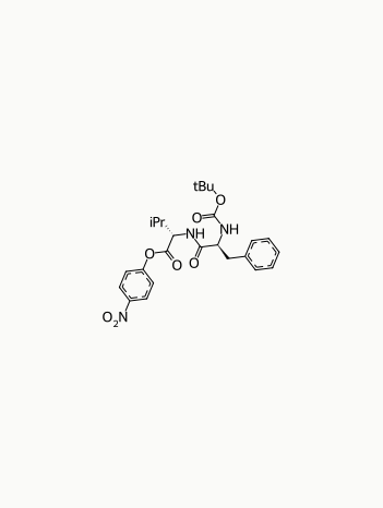 CC(C)[C@H](NC(=O)[C@H](Cc1ccccc1)NC(=O)OC(C)(C)C)C(=O)Oc1ccc([N+](=O)[O-])cc1